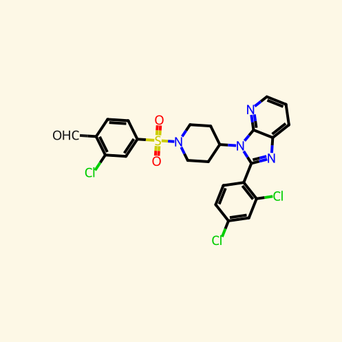 O=Cc1ccc(S(=O)(=O)N2CCC(n3c(-c4ccc(Cl)cc4Cl)nc4cccnc43)CC2)cc1Cl